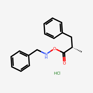 C[C@@H](Cc1ccccc1)C(=O)ONCc1ccccc1.Cl